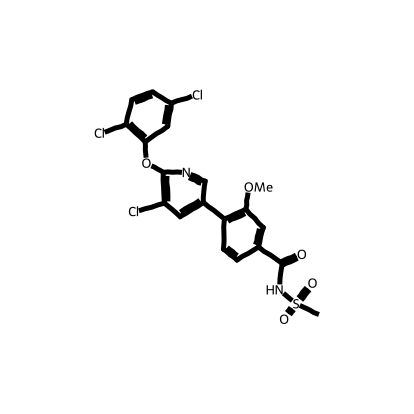 COc1cc(C(=O)NS(C)(=O)=O)ccc1-c1cnc(Oc2cc(Cl)ccc2Cl)c(Cl)c1